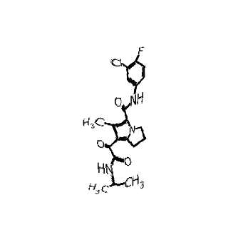 Cc1c(C(=O)C(=O)NC(C)C)c2n(c1C(=O)Nc1ccc(F)c(Cl)c1)CCC2